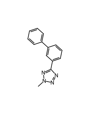 Cn1nnc(-c2cccc(-c3ccccc3)c2)n1